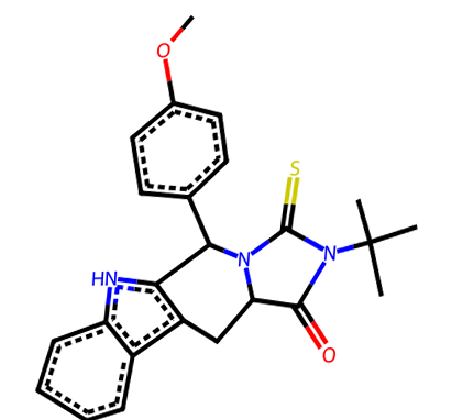 COc1ccc(C2c3[nH]c4ccccc4c3CC3C(=O)N(C(C)(C)C)C(=S)N32)cc1